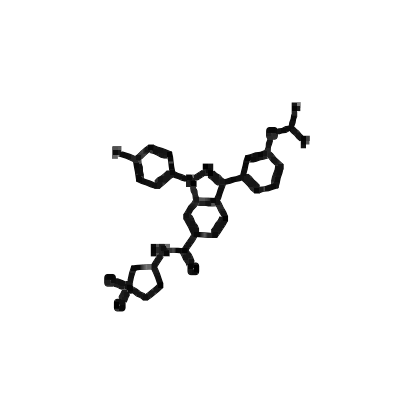 O=C(NC1CCS(=O)(=O)C1)c1ccc2c(-c3cccc(OC(F)F)c3)nn(-c3ccc(F)cc3)c2c1